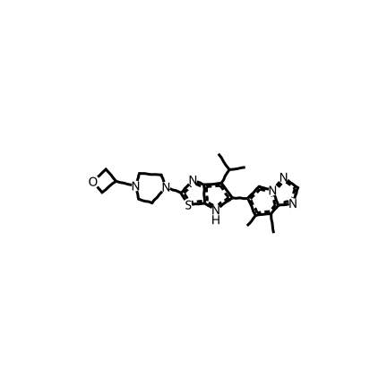 Cc1c(-c2[nH]c3sc(N4CCN(C5COC5)CC4)nc3c2C(C)C)cn2ncnc2c1C